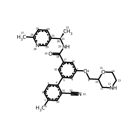 Cc1ccc(-c2cc(OCC3CNCCO3)cc(C(=O)N[C@H](C)c3ccc(C)nc3)c2)c(C#N)c1